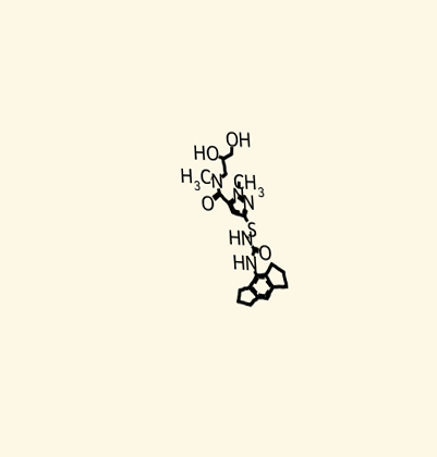 CN(CC(O)CO)C(=O)c1cc(SNC(=O)Nc2c3c(cc4c2CCC4)CCC3)nn1C